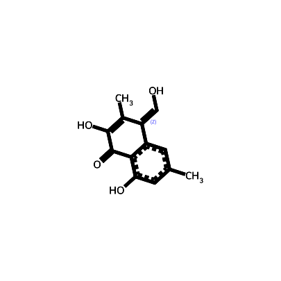 CC1=C(O)C(=O)c2c(O)cc(C)cc2/C1=C/O